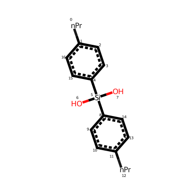 CCCc1ccc([Si](O)(O)c2ccc(CCC)cc2)cc1